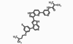 CC(C)C(=O)Nc1cncc(-c2ccc3[nH]nc(-c4cc5c(-c6cc(F)cc(OCCN(C)C)c6)cncc5[nH]4)c3n2)c1